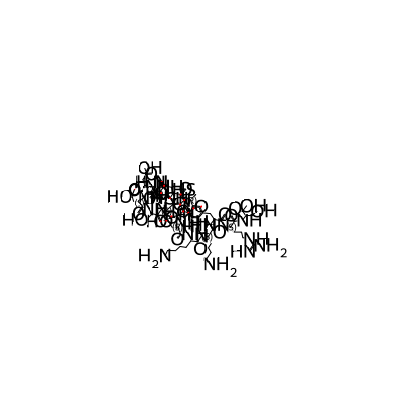 CC(C)CC(NC(=O)[C@H](CS)NC(=O)C(CC(N)=O)NC(=O)[C@H](CO)NC(=O)C(CO)NC(=O)[C@H](CC(=O)O)NC(=O)C(CC(=O)O)NC(=O)[C@H](CS)NN)C(=O)N[C@@H](CC(C)C)C(=O)NC(CCCCN)C(=O)N[C@@H](CCCCN)C(=O)NC(Cc1ccc(O)cc1)C(=O)N[C@@H](CCCNC(=N)N)C(=O)NC(CO)C(=O)O